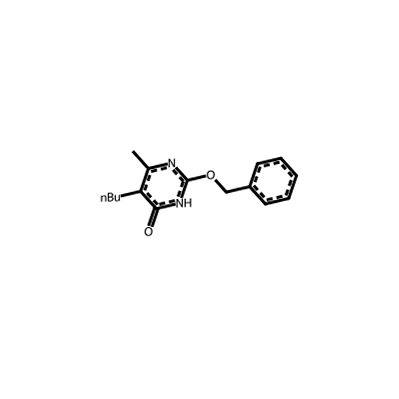 CCCCc1c(C)nc(OCc2ccccc2)[nH]c1=O